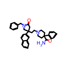 NC(=O)C1(c2ccccc2)CCN(CCC2(c3ccc4ccccc4c3)CC(=O)N(Cc3ccccc3)C2)CC1